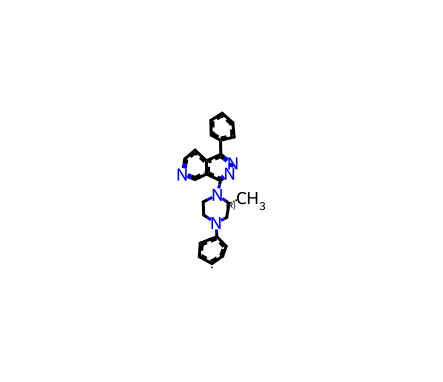 C[C@@H]1CN(c2cc[c]cc2)CCN1c1nnc(-c2ccccc2)c2ccncc12